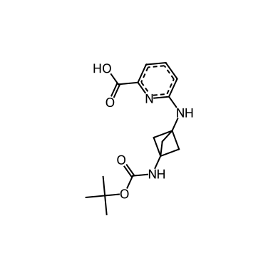 CC(C)(C)OC(=O)NC12CC(Nc3cccc(C(=O)O)n3)(C1)C2